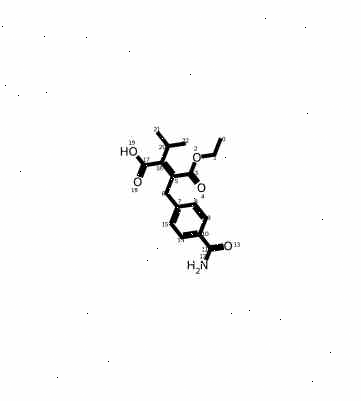 CCOC(=O)C(Cc1ccc(C(N)=O)cc1)=C(C(=O)O)C(C)C